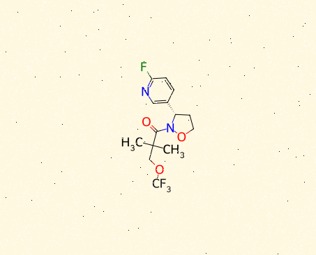 CC(C)(COC(F)(F)F)C(=O)N1OCC[C@H]1c1ccc(F)nc1